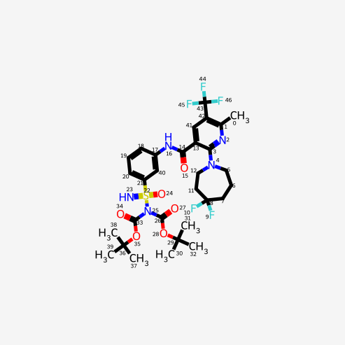 Cc1nc(N2CCCC(F)(F)CC2)c(C(=O)Nc2cccc(S(=N)(=O)N(C(=O)OC(C)(C)C)C(=O)OC(C)(C)C)c2)cc1C(F)(F)F